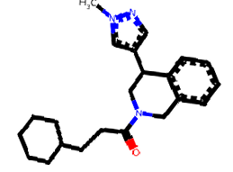 Cn1cc(C2CN(C(=O)CCC3CCCCC3)Cc3ccccc32)cn1